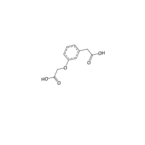 O=C(O)COc1cccc(CC(=O)O)c1